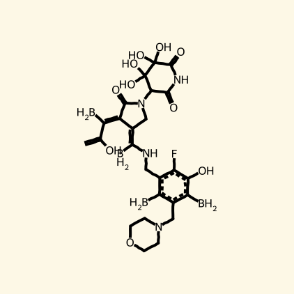 B/C(NCc1c(B)c(CN2CCOCC2)c(B)c(O)c1F)=C1/CN(C2C(=O)NC(=O)C(O)(O)C2(O)O)C(=O)/C1=C(\B)C(=C)O